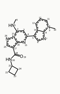 CNc1cc(-c2cnc3n(C)cccc2-3)nc2c(C(=O)NC3CCC3)cnn12